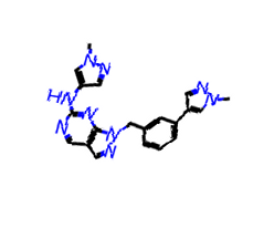 Cn1cc(Nc2ncc3cnn(Cc4cccc(-c5cnn(C)c5)c4)c3n2)cn1